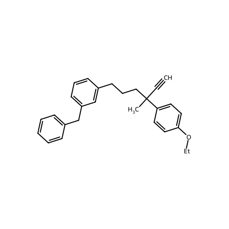 C#CC(C)(CCCc1cccc(Cc2ccccc2)c1)c1ccc(OCC)cc1